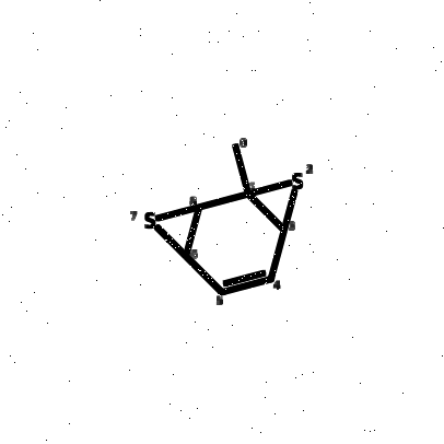 CC12SC1C=CC1SC12